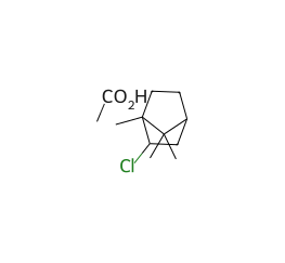 CC(=O)O.CC1(C)C2CCC1(C)C(Cl)C2